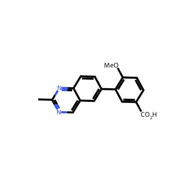 COc1ccc(C(=O)O)cc1-c1ccc2nc(C)ncc2c1